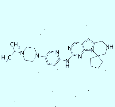 CC(C)N1CCN(c2ccc(Nc3ncc4cc5n(c4n3)C3(CCCC3)CNC5)nc2)CC1